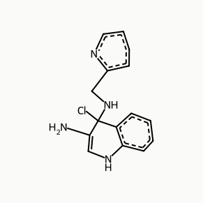 NC1=CNc2ccccc2C1(Cl)NCc1ccccn1